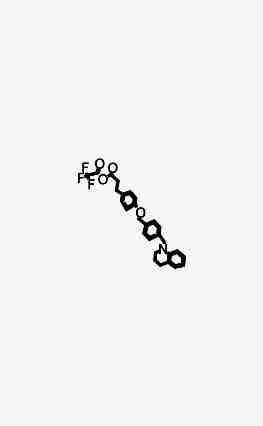 O=C(CCc1ccc(OCc2ccc(CN3CCCc4ccccc43)cc2)cc1)OC(=O)C(F)(F)F